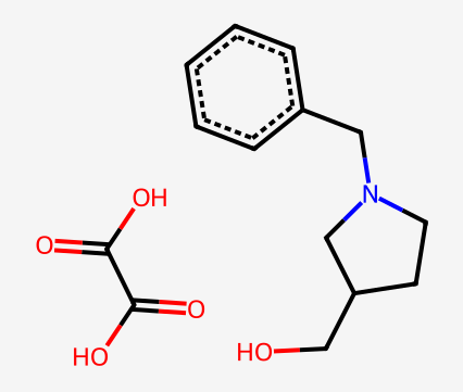 O=C(O)C(=O)O.OCC1CCN(Cc2ccccc2)C1